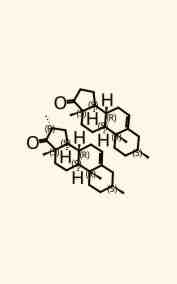 C[C@H]1CC[C@@]2(C)C(=CC[C@@H]3[C@@H]2CC[C@]2(C)C(=O)CC[C@@H]32)C1.C[C@H]1CC[C@@]2(C)C(=CC[C@@H]3[C@@H]2CC[C@]2(C)C(=O)[C@H](C)C[C@@H]32)C1